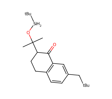 CC(C)(C)Cc1ccc2c(c1)C(=O)C(C(C)(C)O[SiH2]C(C)(C)C)CC2